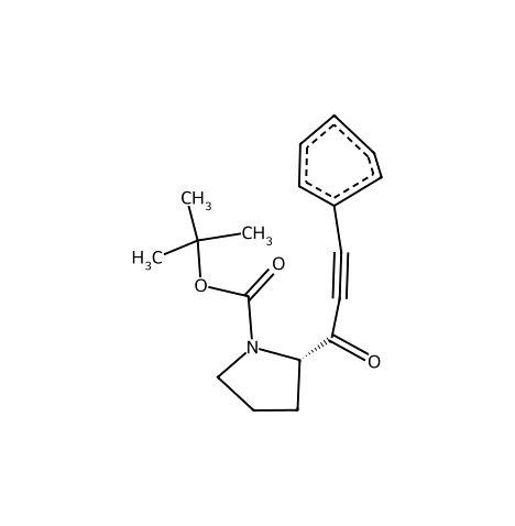 CC(C)(C)OC(=O)N1CCC[C@H]1C(=O)C#Cc1ccccc1